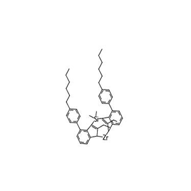 CCCCCCc1ccc(-c2cccc3c2C2=C(CC)[CH]3[Zr][CH]3C(CC)=C(c4c(-c5ccc(CCCCCC)cc5)cccc43)[Si]2(C)C)cc1